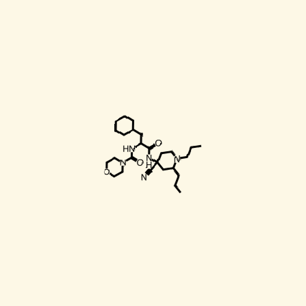 CCCC1CC(C#N)(NC(=O)C(CC2CCCCC2)NC(=O)N2CCOCC2)CCN1CCC